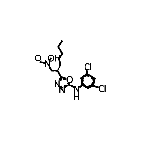 CCCCC[C@H](CN(O)C=O)c1nnc(Nc2cc(Cl)cc(Cl)c2)o1